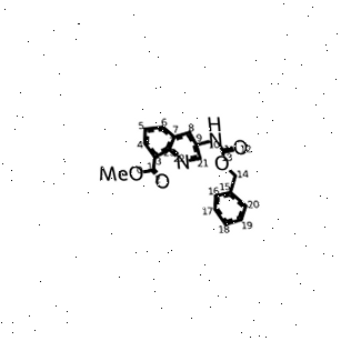 COC(=O)c1cccc2cc(NC(=O)OCc3ccccc3)cnc12